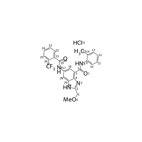 COCc1nc2c(C(=O)Nc3ccccc3C)cc(NC(=O)c3ccccc3C(F)(F)F)cc2[nH]1.Cl